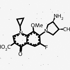 COc1c(N2C[C@@H](N)[C@@H](C)C2)c(F)cc2c(=O)c(C(=O)O)cn(C3CC3)c12